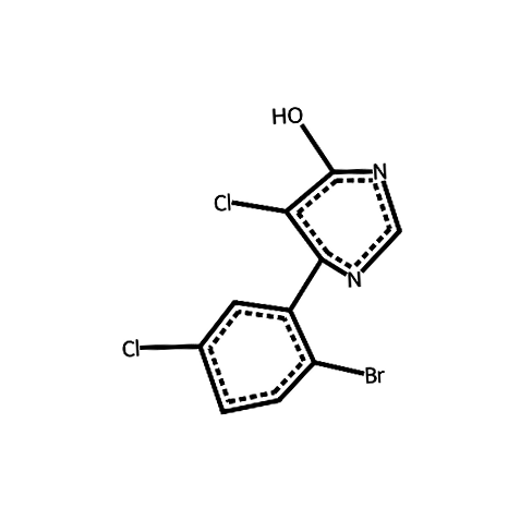 Oc1ncnc(-c2cc(Cl)ccc2Br)c1Cl